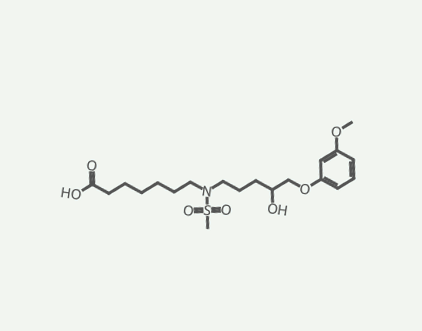 COc1cccc(OCC(O)CCCN(CCCCCCC(=O)O)S(C)(=O)=O)c1